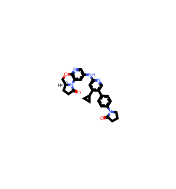 O=C1CCCN1c1ccc(-c2cnc(Nc3cnc4c(c3)N3C(=O)CC[C@H]3CO4)cc2C2CC2)cc1